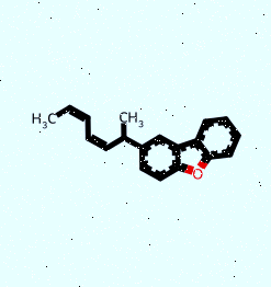 C/C=C\C=C/C(C)c1ccc2oc3ccccc3c2c1